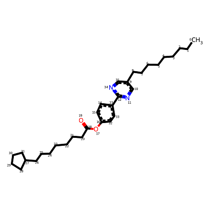 CCCCCCCCCc1cnc(-c2ccc(OC(=O)CCCCCCCC3CCCC3)cc2)nc1